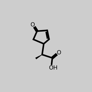 C[C@H](C(=O)O)C1C=CC(=O)C1